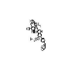 COc1cc2c(Nc3ccc(Sc4nccn4C)c(Cl)c3)c(C#N)cnc2cc1-c1ccc(CN2CCOCC2)cc1